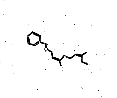 [CH2]CC(C)=CCCC(C)=CCOCc1ccccc1